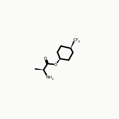 C[C@H](N)C(=O)O[C@H]1CC[C@@H](C(F)(F)F)CC1